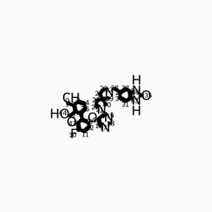 CCc1cccc(-c2cc(F)ccc2Oc2cncnc2N2CCC3(CCN(Cc4ccc5[nH]c(=O)[nH]c5c4)C3)C2)c1C(=O)O